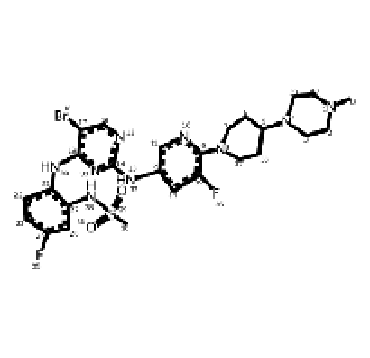 CN1CCN(C2CCN(c3ncc(Nc4ncc(Br)c(Nc5ccc(F)cc5NS(C)(=O)=O)n4)cc3F)CC2)CC1